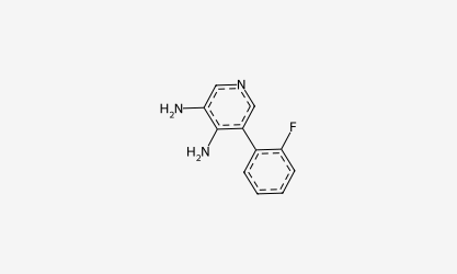 Nc1cncc(-c2ccccc2F)c1N